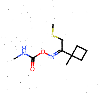 CNC(=O)ON=C(CSC)C1(C)CCC1